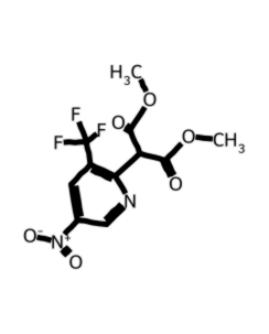 COC(=O)C(C(=O)OC)c1ncc([N+](=O)[O-])cc1C(F)(F)F